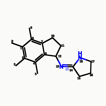 Cc1c(C)c(C)c2c(c1C)CCC2/N=C1/CCCN1